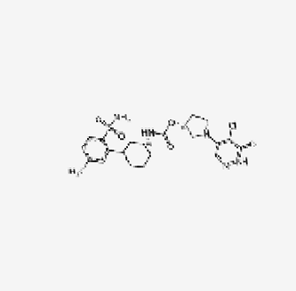 Cc1ccc(S(N)(=O)=O)c(C2CCC[C@@H](NC(=O)O[C@@H]3CCN(c4cn[nH]c(=O)c4Cl)C3)C2)c1